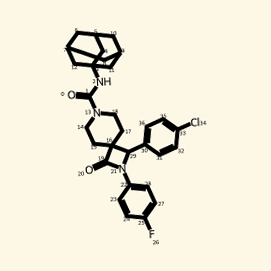 O=C(NC12CC3CC(CC(C3)C1)C2)N1CCC2(CC1)C(=O)N(c1ccc(F)cc1)C2c1ccc(Cl)cc1